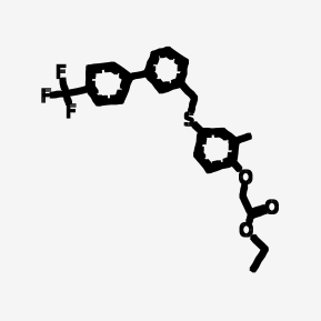 CCOC(=O)COc1ccc(SCc2cccc(-c3ccc(C(F)(F)F)cc3)c2)cc1C